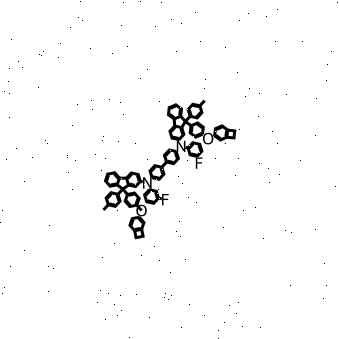 Cc1ccc(C2(c3ccc(Oc4ccc5c(c4)CC5)cc3)c3ccccc3-c3ccc(N(c4ccc(-c5ccc(N(c6cccc(F)c6)c6ccc7c(c6)C(c6ccc(C)cc6)(c6ccc(Oc8ccc9c(c8)CC9)cc6)c6ccccc6-7)cc5)cc4)c4cccc(F)c4)cc32)cc1